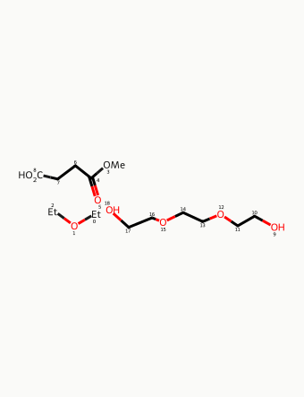 CCOCC.COC(=O)CCC(=O)O.OCCOCCOCCO